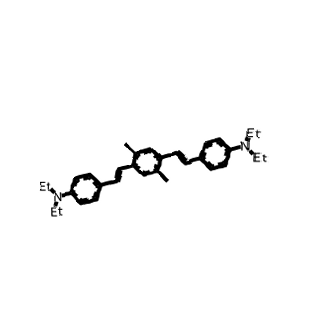 CCN(CC)c1ccc(/C=C/c2cc(C)c(/C=C/c3ccc(N(CC)CC)cc3)cc2C)cc1